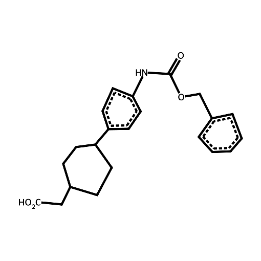 O=C(O)CC1CCC(c2ccc(NC(=O)OCc3ccccc3)cc2)CC1